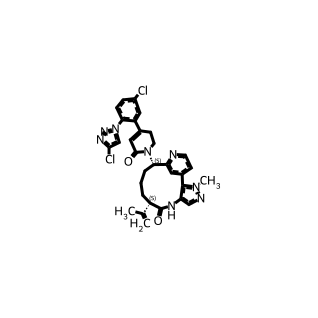 C=C(C)[C@@H]1CCC[C@H](N2CCC(c3cc(Cl)ccc3-n3cc(Cl)nn3)=CC2=O)c2cc(ccn2)-c2c(cnn2C)NC1=O